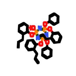 C=CCc1ccccc1OP1(O)=NP(Oc2ccccc2)(Oc2ccccc2CC=C)=NP(Oc2ccccc2)(Oc2ccccc2CC=C)=N1